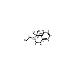 CCN1CCc2c[c]ccc2C1(C)C